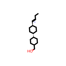 CC/C=C/[C@H]1CC[C@H](C2CCC(CO)CC2)CC1